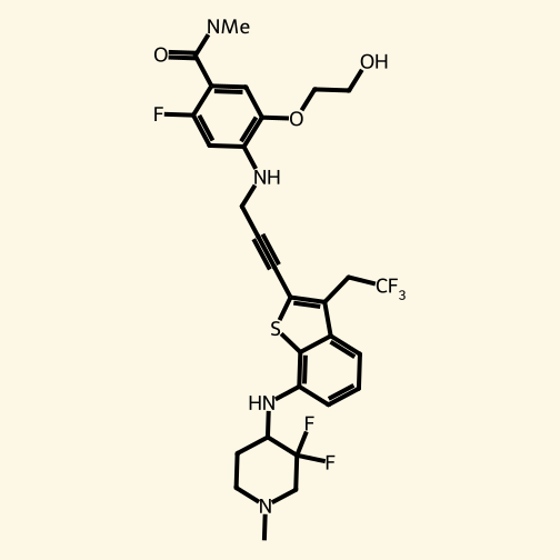 CNC(=O)c1cc(OCCO)c(NCC#Cc2sc3c(NC4CCN(C)CC4(F)F)cccc3c2CC(F)(F)F)cc1F